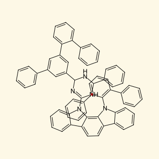 c1ccc(-c2cc(-c3ccccc3-c3ccccc3)cc(C3N=C(n4c5ccccc5c5ccc6c7ccccc7n(-c7c(-c8ccccc8)cccc7-c7ccccc7)c6c54)NC(c4ccccc4)N3)c2)cc1